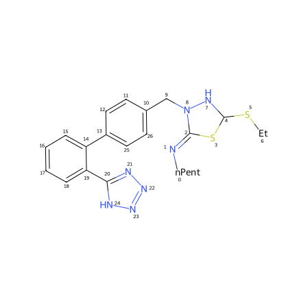 CCCCCN=C1SC(SCC)NN1Cc1ccc(-c2ccccc2-c2nnn[nH]2)cc1